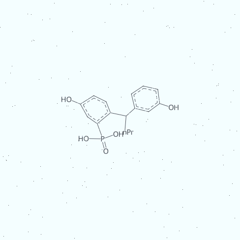 CCCC(c1cccc(O)c1)c1ccc(O)cc1P(=O)(O)O